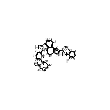 Cc1cccc(F)c1NC(=O)c1cc2c(s1)-c1ccccc1N(C(O)c1cccc(N3CCCOCC3=O)n1)CC2